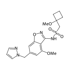 COc1cc(Cn2cccn2)cc2onc(NS(=O)(=O)CC3(OC)CCC3)c12